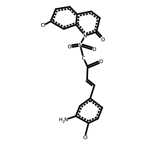 Nc1cc(C=CC(=O)CS(=O)(=O)n2c(=O)ccc3ccc(Cl)cc32)ccc1Cl